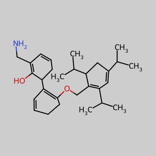 CC(C)C1=CC(C(C)C)=C(COC2=C(C3CC=CC(CN)=C3O)C=CCC2)C(C(C)C)C1